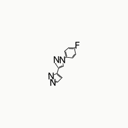 Cn1nccc1-c1cnn(-c2ccc(F)cc2)c1